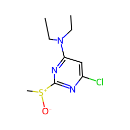 CCN(CC)c1cc(Cl)nc([S+](C)[O-])n1